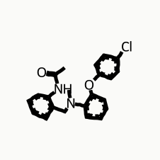 CC(=O)Nc1ccccc1CN(C)c1ccccc1Oc1ccc(Cl)cc1